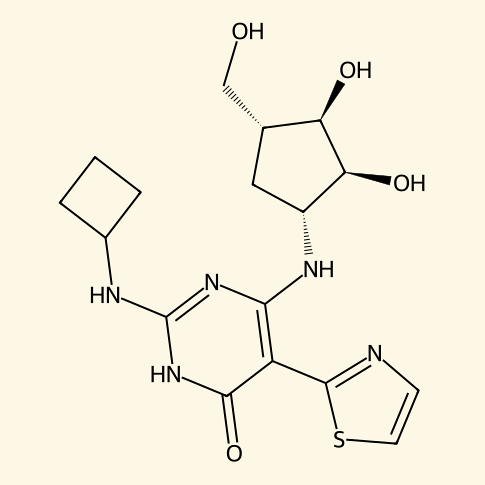 O=c1[nH]c(NC2CCC2)nc(N[C@@H]2C[C@H](CO)[C@@H](O)[C@H]2O)c1-c1nccs1